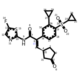 O=C1CC[C@H](/C=C(/C(=O)Nc2ncc(F)s2)c2ccc(S(=O)(=O)C3CC3)c(C3CC3)c2)C1